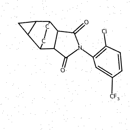 O=C1C2C3CCC(C4CC43)C2C(=O)N1c1cc(C(F)(F)F)ccc1Cl